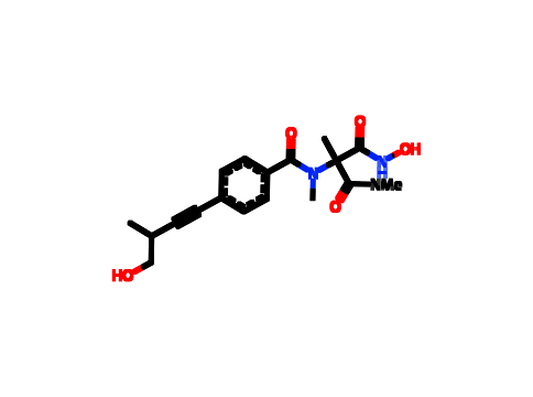 CNC(=O)C(C)(C(=O)NO)N(C)C(=O)c1ccc(C#CC(C)CO)cc1